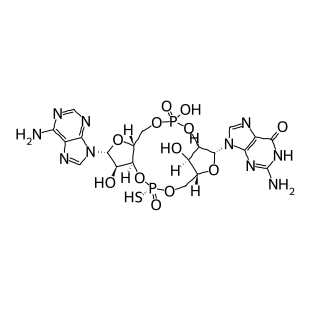 Nc1nc2c(ncn2[C@@H]2O[C@@H]3CO[P@](=O)(S)O[C@H]4[C@@H](O)[C@H](n5cnc6c(N)ncnc65)O[C@@H]4COP(=O)(O)O[C@@H]2[C@@H]3O)c(=O)[nH]1